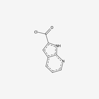 O=C(Cl)c1cc2cccnc2[nH]1